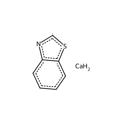 [CaH2].[c]1nc2ccccc2s1